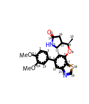 COc1ccc(-c2cc(O[C@H](C)C3CNC(=O)C3)c3scnc3c2)cc1OC